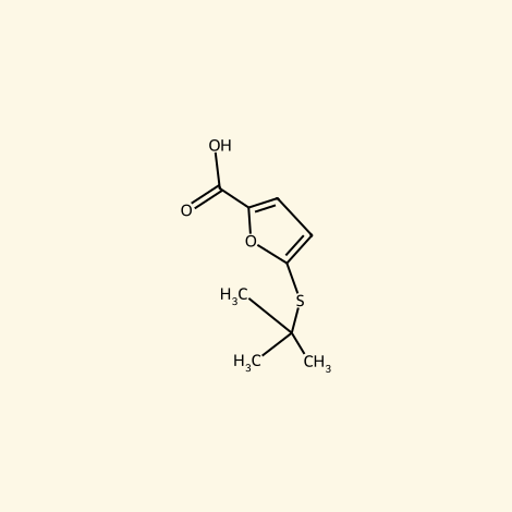 CC(C)(C)Sc1ccc(C(=O)O)o1